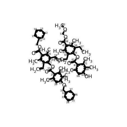 C=Cc1c(C)c(C(=O)OCc2ccccc2)c(C)c(C=C)c1OC(=O)c1c(C)cc(OCc2ccccc2)c(C)c1C.CCc1c(C)c(C(=O)OCOC)c(C)c(CC)c1OC(=O)c1c(C)cc(O)c(C)c1C